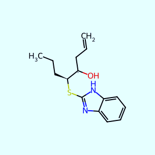 C=CC[C](O)[C@H](CCC)Sc1nc2ccccc2[nH]1